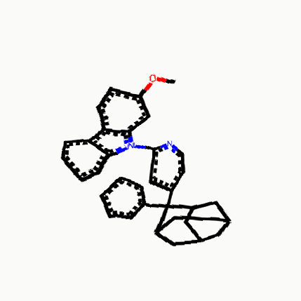 COc1ccc2c3ccccc3n(-c3cc(C4(c5ccccc5)C5CC6CC(C5)CC4C6)ccn3)c2c1